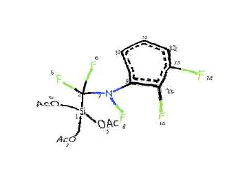 CC(=O)O[Si](OC(C)=O)(OC(C)=O)C(F)(F)N(F)c1cccc(F)c1F